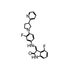 O=C1Nc2cccc(F)c2C1=CNc1ccc(N2CCC(c3ccccn3)C2)c(F)c1